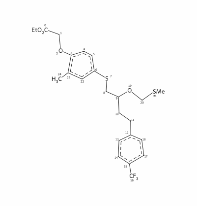 CCOC(=O)COc1ccc(SCC(CCc2ccc(C(F)(F)F)cc2)OCSC)cc1C